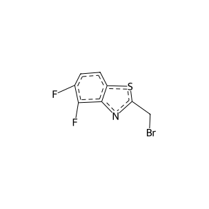 Fc1ccc2sc(CBr)nc2c1F